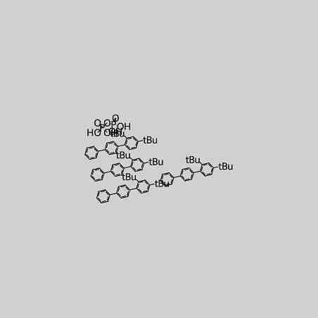 CC(C)(C)c1ccc(-c2ccc(-c3ccccc3)cc2)c(C(C)(C)C)c1.CC(C)(C)c1ccc(-c2ccc(-c3ccccc3)cc2)c(C(C)(C)C)c1.CC(C)(C)c1ccc(-c2ccc(-c3ccccc3)cc2)c(C(C)(C)C)c1.CC(C)(C)c1ccc(-c2ccc(-c3ccccc3)cc2)c(C(C)(C)C)c1.O=P(O)(O)OP(=O)(O)O